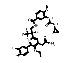 CCOc1c(CC(N)=O)cc([C@@](O)(CNC(=O)c2ccc(OC)c(NC(=O)NC3CC3)c2)C(F)(F)F)nc1-c1ccc(F)c(Cl)c1